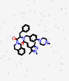 Cc1nn(C)c(C)c1C=CC(=O)N(Cc1ccc(N2CCN(C)CC2)cc1)C(Cc1ccccc1)C(=O)N1CCc2ccccc2C1